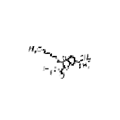 CCCCCCCC1=C(C(C)=O)Cc2cc(C(C)C)ccc2O1